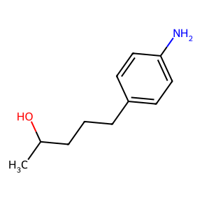 CC(O)CCCc1ccc(N)cc1